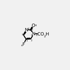 O=C(O)n1cc(F)cnc1=O